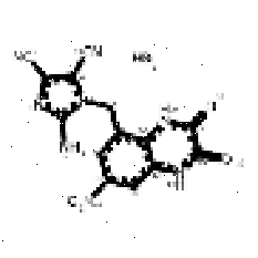 Br.N#Cc1nc(N)n(Cc2cc([N+](=O)[O-])cc3[nH]c(=O)c(=O)[nH]c23)c1C#N